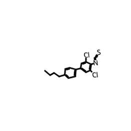 CCCCc1ccc(-c2cc(Cl)c(N=C=S)c(Cl)c2)cc1